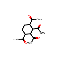 CNC(=O)C1CCC(C(=O)OC)C(C(=O)NC)C1C(=O)OC